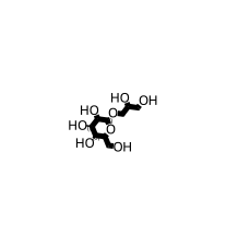 OCC(O)CO[C@@H]1OC(CO)[C@@H](O)[C@H](O)C1O